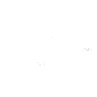 C1=CC=CNC=C1.NC12CC3CC(CC(C3)C1)C2